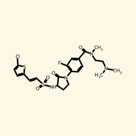 CN(C)CCN(C)C(=O)c1ccc(N2CCC(NS(=O)(=O)/C=C/c3ccc(Cl)s3)C2=O)c(F)c1